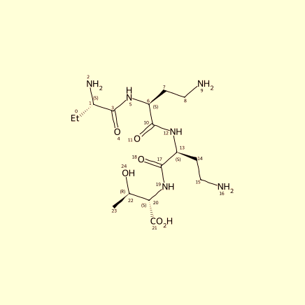 CC[C@H](N)C(=O)N[C@@H](CCN)C(=O)N[C@@H](CCN)C(=O)N[C@H](C(=O)O)[C@@H](C)O